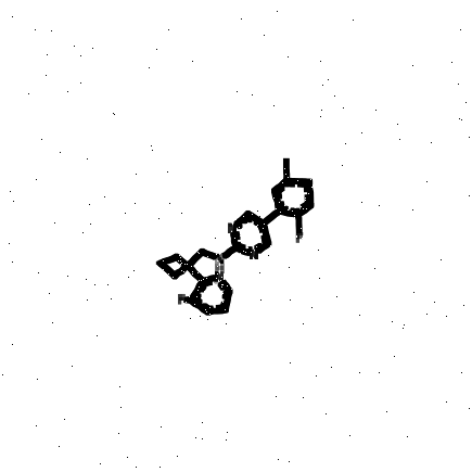 Cc1ccc(F)c(-c2cnc(NCC3(c4ncccc4F)CCC3)nc2)c1